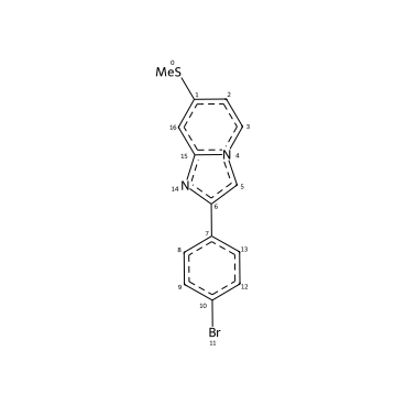 CSc1ccn2cc(-c3ccc(Br)cc3)nc2c1